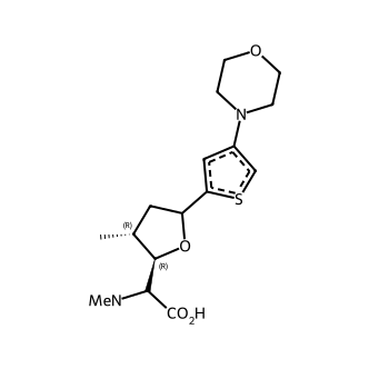 CNC(C(=O)O)[C@@H]1OC(c2cc(N3CCOCC3)cs2)C[C@H]1C